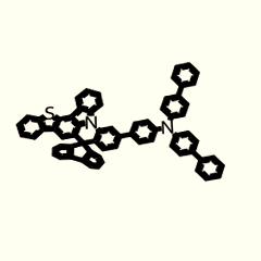 c1ccc(-c2ccc(N(c3ccc(-c4ccccc4)cc3)c3ccc(-c4ccc5c(c4)-n4c6ccccc6c6c7sc8ccccc8c7cc(c64)C54c5ccccc5-c5ccccc54)cc3)cc2)cc1